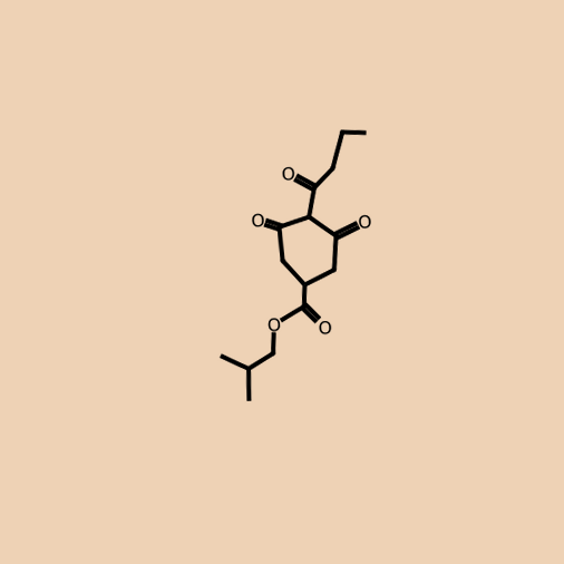 CCCC(=O)C1C(=O)CC(C(=O)OCC(C)C)CC1=O